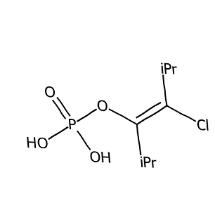 CC(C)C(Cl)=C(OP(=O)(O)O)C(C)C